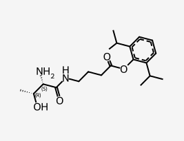 CC(C)c1cccc(C(C)C)c1OC(=O)CCCNC(=O)[C@@H](N)[C@@H](C)O